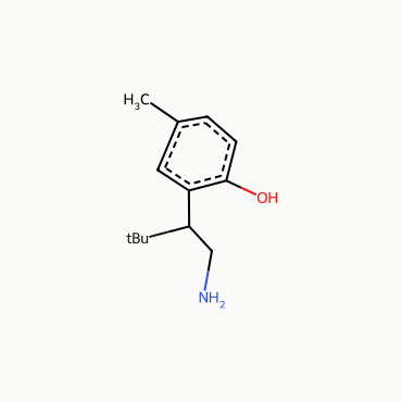 Cc1ccc(O)c(C(CN)C(C)(C)C)c1